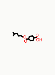 CC(C)CCCCOC(=O)C1CCC(C(=O)O)CC1